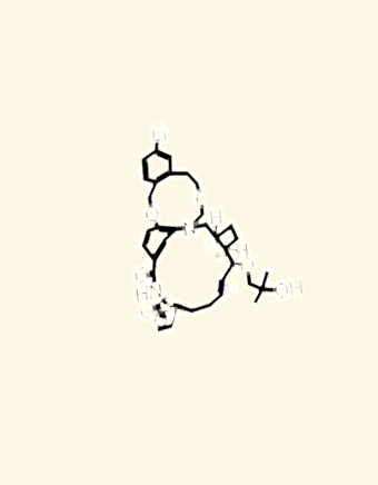 CC[C@@H]1CC/C=C/[C@H](OCC(C)(C)O)[C@@H]2CC[C@H]2CN2CCCCc3cc(Cl)ccc3COc3ccc(cc32)C(=O)NS1(=O)=O